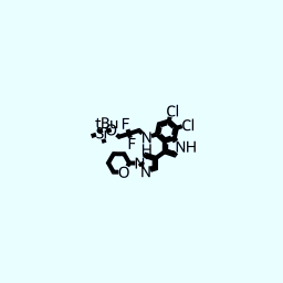 CC(C)(C)[Si](C)(C)OCC(F)(F)CNc1cc(Cl)c(Cl)c2[nH]cc(-c3cnn(C4CCCCO4)c3)c12